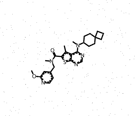 COc1cc(CN(C)C(=O)c2sc3ncnc(N(C)C4CCC5(CCC5)CC4)c3c2C)ccn1